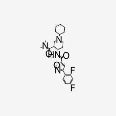 CN(C)C(=O)C1CN(C2CCCCC2)CCC1NC(=O)c1cc(-c2ccc(F)cc2F)no1